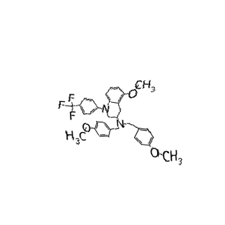 COc1ccc(CN(Cc2ccc(OC)cc2)C2Cc3c(OC)cccc3N(c3ccc(C(F)(F)F)cc3)C2)cc1